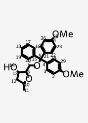 COc1ccc(C(OCC2OC(C)CC2O)(c2ccccc2)c2ccc(OC)cc2)cc1